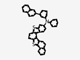 c1ccc(N(c2cccc(-c3ccc4ccccc4c3)c2)c2ccc3c(c2)sc2ccc4sc5c6ccccc6ccc5c4c23)cc1